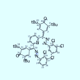 CC(C)(C)C1=CC(=C(/N=N/c2cccc(Cl)c2Cl)c2cccc(C(/N=N/c3cccc(Cl)c3Cl)=C3C=C(C(C)(C)C)C(=O)C(C(C)(C)C)=C3)n2)C=C(C(C)(C)C)C1=O